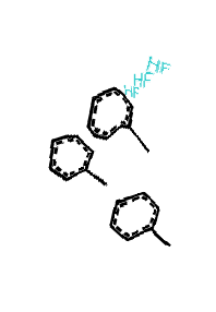 Cc1ccccc1.Cc1ccccc1.Cc1ccccc1.F.F.F